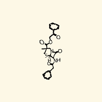 CC1(C(=O)OCC(=O)c2ccccc2)CS[C@@H]2C(NC(=O)Cc3ccccc3)C(=O)N2C1